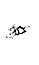 CN(CC1CCC(C=O)CC1)C(=O)OC(C)(C)C